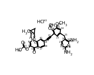 CCC[N+]1(CC2CC2)C=C(OC(=O)O)C(=O)c2ccc(C#Cc3cc(Cc4cnc(N)nc4N)cc(OC)c3OC)cc21.Cl